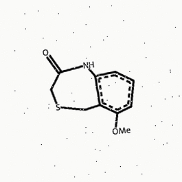 COc1cccc2c1CSCC(=O)N2